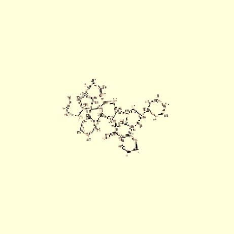 O=c1c2ccccc2c2cc(-c3ccccc3)cc3c4ccc5c(c4n1c23)-c1ccccc1C51C2=C(C=CCC2)c2ccccc21